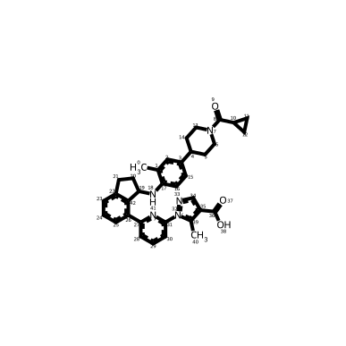 Cc1cc(C2CCN(C(=O)C3CC3)CC2)ccc1NC1CCc2cccc(-c3cccc(-n4ncc(C(=O)O)c4C)n3)c21